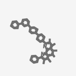 Cc1c(-c2ccccc2)nc2c(c1C)c(C)c(C)c1c(C)c(C)c(-c3ccc(-c4ccc(-c5cccc(-c6ccccc6)c5)cc4)cc3)nc12